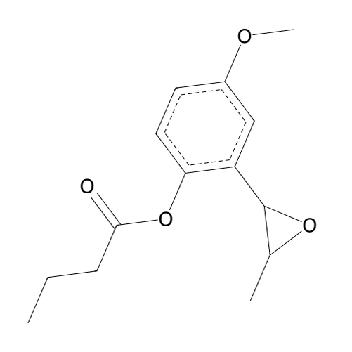 CCCC(=O)Oc1ccc(OC)cc1C1OC1C